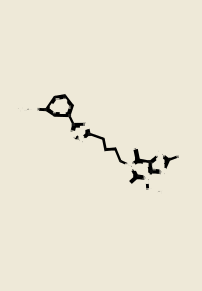 CCCCCn1c(=O)n(CCCCc2noc(-c3cccc(OC)c3)n2)c(=O)c2[nH]c(Cl)nc21